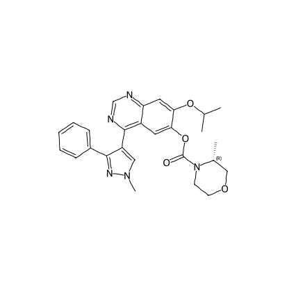 CC(C)Oc1cc2ncnc(-c3cn(C)nc3-c3ccccc3)c2cc1OC(=O)N1CCOC[C@H]1C